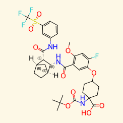 COc1cc(F)c(OC2CCC(NC(=O)OC(C)(C)C)(C(=O)O)CC2)cc1C(=O)N[C@@H]1[C@H]2CC[C@H](C2)[C@@H]1C(=O)Nc1cccc(S(=O)(=O)C(F)(F)F)c1